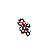 Cc1ccccc1-c1cc2ccccc2c[n+]1C(c1ccccc1-c1cc2ccccc2c[n+]1C)[n+]1cc2ccccc2cc1-c1ccccc1C